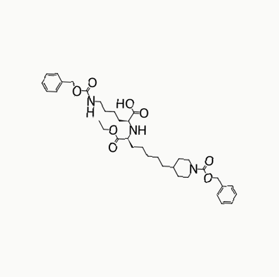 CCOC(=O)[C@H](CCCCCC1CCN(C(=O)OCc2ccccc2)CC1)N[C@@H](CCCCNC(=O)OCc1ccccc1)C(=O)O